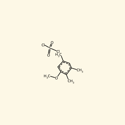 COc1cc(C)cc(C)c1C.O=S(=O)(Cl)Cl